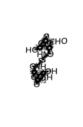 O=COc1ccc(C(=O)NCCSSCCNC(=O)c2ccc(C(=O)O)c(-c3c4ccc(=O)cc-4oc4cc(O)ccc34)c2)cc1-c1c2ccc(=O)cc-2oc2cc(O)ccc12